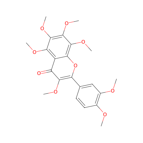 COc1ccc(-c2oc3c(OC)c(OC)c(OC)c(OC)c3c(=O)c2OC)cc1OC